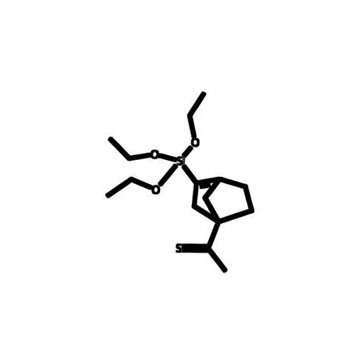 CCO[Si](OCC)(OCC)C1=C2CCC(C(C)=S)(C2)C1